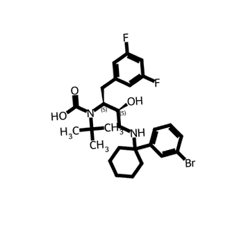 CC(C)(C)N(C(=O)O)[C@@H](Cc1cc(F)cc(F)c1)[C@@H](O)CNC1(c2cccc(Br)c2)CCCCC1